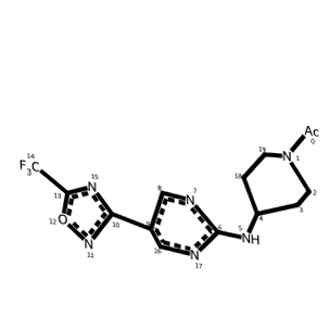 CC(=O)N1CCC(Nc2ncc(-c3noc(C(F)(F)F)n3)cn2)CC1